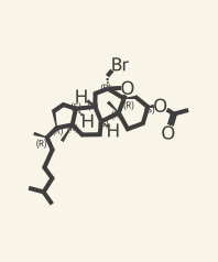 CC(=O)O[C@H]1CC[C@]2(C)[C@H]3CC[C@]4(C)[C@@H]([C@H](C)CCCC(C)C)CC[C@H]4[C@@H]3C[C@@]3(CBr)O[C@@]32C1